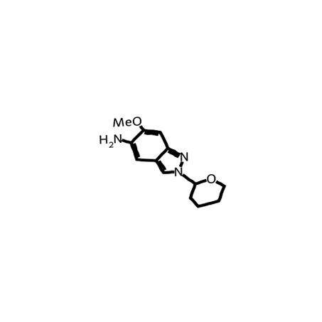 COc1cc2nn(C3CCCCO3)cc2cc1N